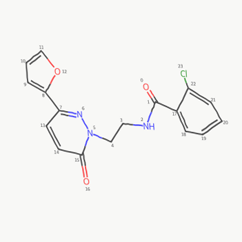 O=C(NCCn1nc(-c2ccco2)ccc1=O)c1ccccc1Cl